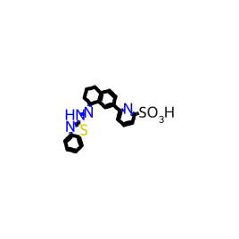 O=S(=O)(O)c1cccc(-c2ccc3c(c2)C(=NNc2nc4ccccc4s2)CCC3)n1